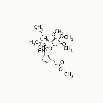 CCCCCC(c1ccc(OC)c(OC)c1OC)C(C(=O)Nc1cccc(CCC(=O)OCC)c1)C(C)(C)C